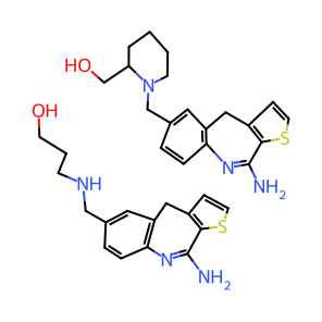 NC1=Nc2ccc(CN3CCCCC3CO)cc2Cc2ccsc21.NC1=Nc2ccc(CNCCCO)cc2Cc2ccsc21